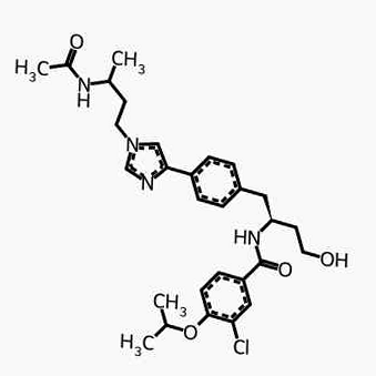 CC(=O)NC(C)CCn1cnc(-c2ccc(C[C@@H](CCO)NC(=O)c3ccc(OC(C)C)c(Cl)c3)cc2)c1